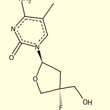 Cc1cn([C@H]2C[C@@](F)(CO)CO2)c(=O)nc1N